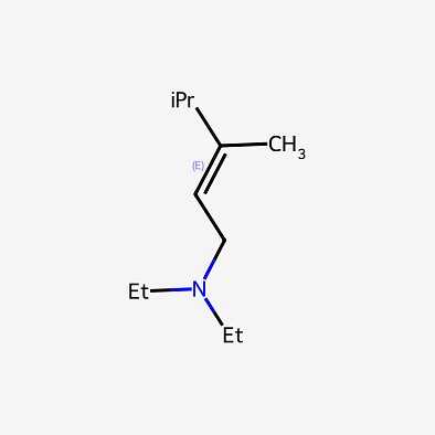 CCN(CC)C/C=C(\C)C(C)C